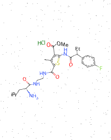 CCC(C(=O)Nc1sc(C(=O)NCCNC(=O)[C@@H](N)CC(C)C)c(C)c1C(=O)OC)c1ccc(F)cc1.Cl